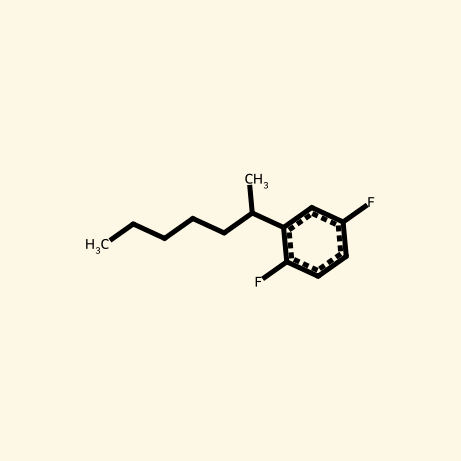 CCCCCC(C)c1cc(F)ccc1F